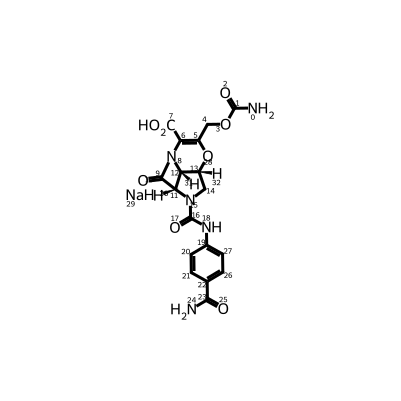 NC(=O)OCC1=C(C(=O)O)N2C(=O)[C@@H]3[C@H]2[C@@H](CN3C(=O)Nc2ccc(C(N)=O)cc2)O1.[NaH]